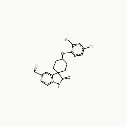 O=Cc1ccc2c(c1)C1(CCC(Oc3ncc(Cl)cc3Cl)CC1)C(=O)N2